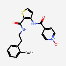 COc1ccccc1CCNC(=O)c1sccc1NC(=O)c1cc[n+]([O-])cc1